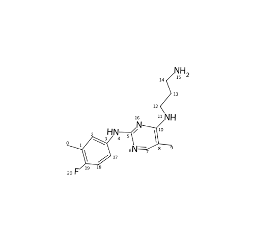 Cc1cc(Nc2ncc(C)c(NCCCN)n2)ccc1F